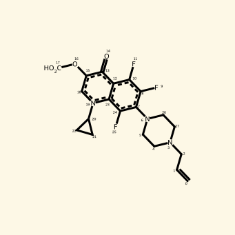 C=CCN1CCN(c2c(F)c(F)c3c(=O)c(OC(=O)O)cn(C4CC4)c3c2F)CC1